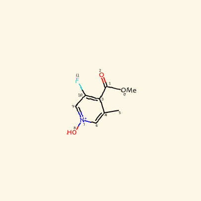 COC(=O)c1c(C)c[n+](O)cc1F